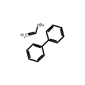 C=CCCCC.c1ccc(-c2ccccc2)cc1